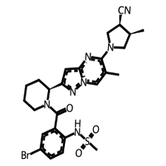 Cc1cn2nc([C@@H]3CCCCN3C(=O)c3cc(Br)ccc3NS(C)(=O)=O)cc2nc1N1C[C@@H](C#N)[C@@H](C)C1